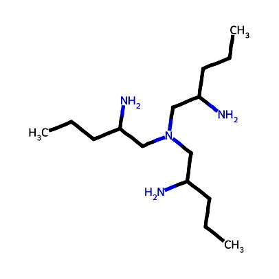 CCCC(N)CN(CC(N)CCC)CC(N)CCC